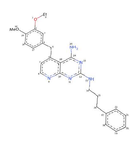 CCOc1cc(Cc2ccnc3nc(NCCCc4ccccc4)nc(N)c23)ccc1OC